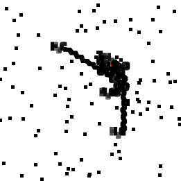 CCCCCCCCCCCCC(Oc1ccc2c(c1)Oc1cc(OC(CCCCCCCCCCCC)C(=O)OC)ccc1C21OC(=O)c2ccccc21)C(=O)OC